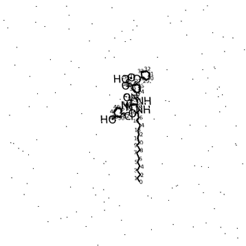 CCCCCCCCCCCCCCCCCC(=O)Nc1[nH]n(-c2ccc(Oc3ccccc3)c(S(=O)(=O)O)c2)c(=O)c1N=Nc1ccc(O)cc1Cl